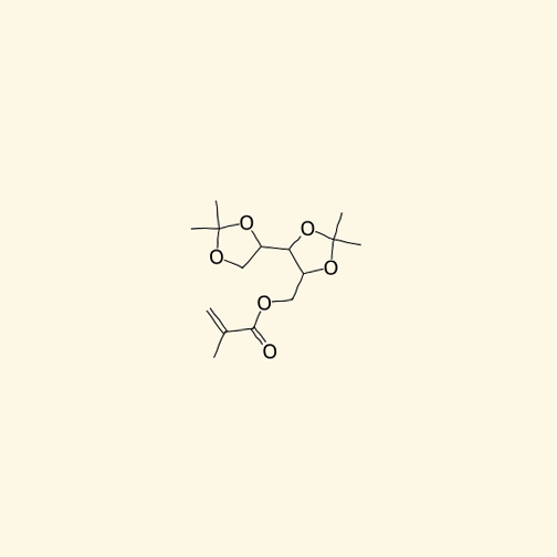 C=C(C)C(=O)OCC1OC(C)(C)OC1C1COC(C)(C)O1